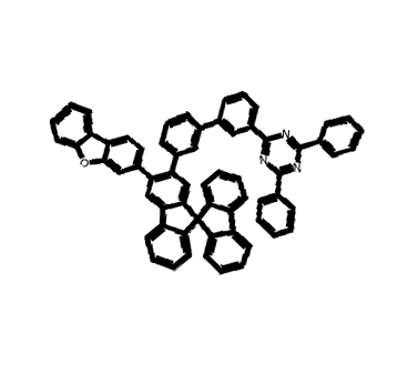 c1ccc(-c2nc(-c3ccccc3)nc(-c3cccc(-c4cccc(-c5cc6c(cc5-c5ccc7c(c5)oc5ccccc57)-c5ccccc5C65c6ccccc6-c6ccccc65)c4)c3)n2)cc1